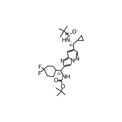 CC(C)(C)OC(=O)N[C@H](c1cn2ncc([C@H](N[S@@+]([O-])C(C)(C)C)C3CC3)cc2n1)C1CCC(F)(F)CC1